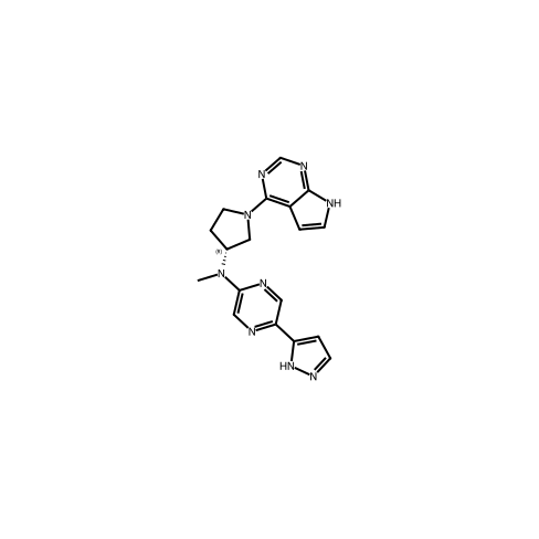 CN(c1cnc(-c2ccn[nH]2)cn1)[C@@H]1CCN(c2ncnc3[nH]ccc23)C1